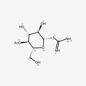 CC(=O)O[C@H]1[C@H](O)[C@@H](O)[C@H](SC(=N)N)O[C@@H]1CO